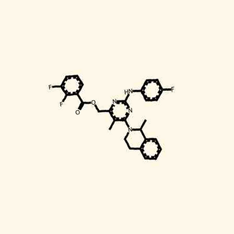 Cc1c(COC(=O)c2cccc(F)c2F)nc(Nc2ccc(F)cc2)nc1N1CCc2ccccc2C1C